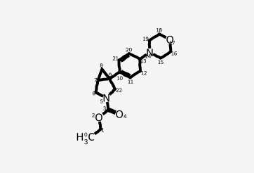 CCOC(=O)N1CC2CC2(C2=CCC(N3CCOCC3)C=C2)C1